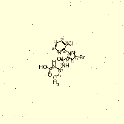 CCN(NC(=O)O)NC(=O)c1cc(Br)nn1-c1ncccc1Cl